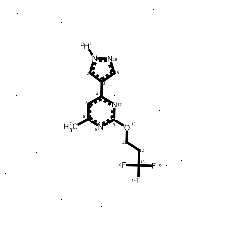 [2H]n1cc(-c2cc(C)nc(OCCC(F)(F)F)n2)cn1